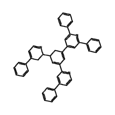 C1=NC(C2C=C(c3cc(-c4ccccc4)ccn3)C=C(c3cc(-c4ccccc4)nc(-c4ccccc4)c3)C2)CC(c2ccccc2)=C1